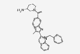 C=C(c1ccn2c(C)c(-c3cc4ccccc4n3Cc3ccccc3)nc2c1)N1CCCC(N)C1